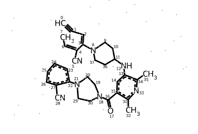 C#C/C=C(\C(C#N)=C/C)N1CCC(Nc2cc(C(=O)N3CCN(c4ccccc4C#N)CC3)c(C)nc2C)CC1